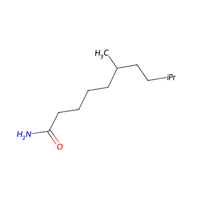 CC(C)CCC(C)CCCCC(N)=O